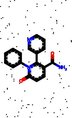 NC(=O)c1ccc(=O)n(-c2ccccc2)c1-c1cccnc1